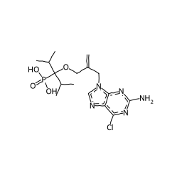 C=C(COC(C(C)C)(C(C)C)P(=O)(O)O)Cn1cnc2c(Cl)nc(N)nc21